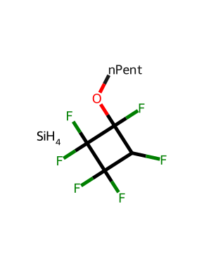 CCCCCOC1(F)C(F)C(F)(F)C1(F)F.[SiH4]